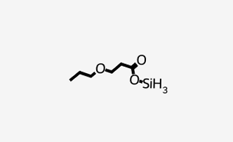 CCCOCCC(=O)O[SiH3]